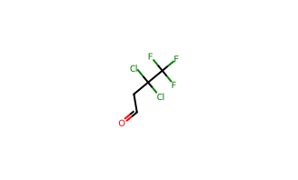 O=CCC(Cl)(Cl)C(F)(F)F